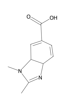 CC1=NC2C=CC(C(=O)O)=CC2N1C